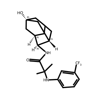 CC(C)(Nc1cccc(C(F)(F)F)c1)C(=O)N[C@H]1[C@@H]2CC3C[C@H]1C[C@](O)(C3)C2